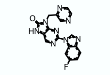 O=c1[nH]c2cnc(-n3cnc4ccc(F)cc43)nc2n1Cc1cnccn1